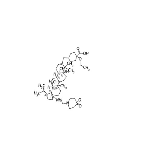 C=C(C)[C@@H]1CC[C@]2(NCCN3CCS(=O)(=O)CC3)CC[C@]3(C)[C@H](CC[C@@H]4[C@@]5(C)CC=C(CC6CCC(OCC)(C(=O)O)CC6)C(C)(C)[C@@H]5CC[C@]43C)[C@@H]12